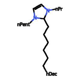 CCCCCCCCCCCCCCCCC1N(CCC)C=CN1CCCCC